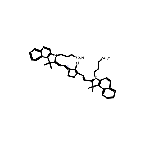 CC1(C)C(=C/C=C2\CCC(C=CC3=[N+](CCCS(=O)(=O)O)c4ccc5ccccc5c4C3(C)C)=C2Cl)N(CCCS(=O)(=O)O)c2ccc3ccccc3c21